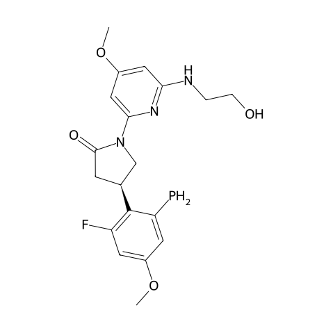 COc1cc(NCCO)nc(N2C[C@@H](c3c(F)cc(OC)cc3P)CC2=O)c1